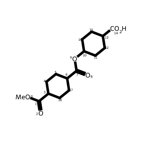 COC(=O)C1CCC(C(=O)OC2CCC(C(=O)O)CC2)CC1